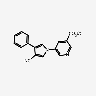 CCOC(=O)c1cncc(-n2cc(C#N)c(-c3ccccc3)c2)c1